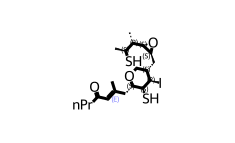 CCCC(=O)/C=C(\C)C[C@@H]1OC[C@H](C[C@@H]2O[C@H]2[C@@H](C)[C@H](C)S)[C@@H](I)[C@H]1S